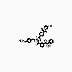 NCc1ccc(CSc2nc(C3CCN(S(=O)(=O)N4CCC(O)C4)CC3)nn2C(=O)c2cccc(C(=O)C(O)c3ccccc3)c2)cc1